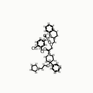 O=C(COCC1CCc2ccccc2N1S(=O)(=O)c1ccc(Cl)c(Cl)c1)N1CCC(OCCN2CCCC2)(c2cccnc2)CC1